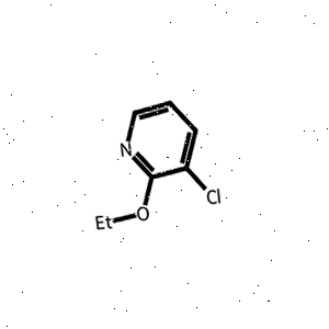 CCOc1ncccc1Cl